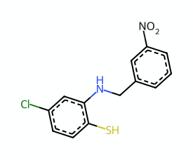 O=[N+]([O-])c1cccc(CNc2cc(Cl)ccc2S)c1